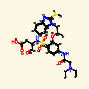 CCN(CC)CC(=O)Nc1ccc(S(=O)(=O)NC(C=O)CC(=O)O)c(OC(C)Cn2c(SC)nc3ccccc32)c1